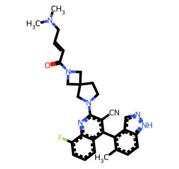 Cc1ccc2[nH]ncc2c1-c1c(C#N)c(N2CCC3(CN(C(=O)C=CCN(C)C)C3)C2)nc2c(F)cccc12